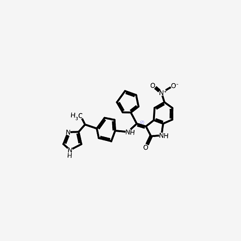 CC(c1ccc(N/C(=C2\C(=O)Nc3ccc([N+](=O)[O-])cc32)c2ccccc2)cc1)c1c[nH]cn1